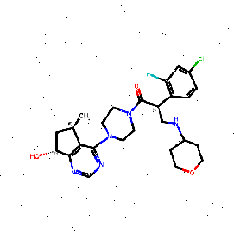 C[C@@H]1C[C@@H](O)c2ncnc(N3CCN(C(=O)[C@H](CNC4CCOCC4)c4ccc(Cl)cc4F)CC3)c21